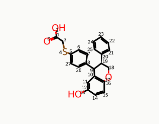 O=C(O)CSc1ccc(C2c3cc(O)ccc3OC[C@@H]2c2ccccc2)cc1